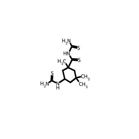 CC1(C)CC(NC(N)=S)CC(C)(C(=S)NC(N)=S)C1